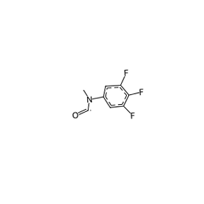 CN([C]=O)c1cc(F)c(F)c(F)c1